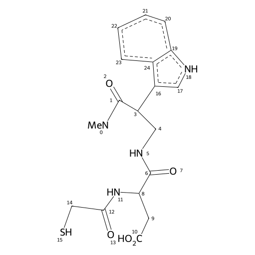 CNC(=O)C(CNC(=O)C(CC(=O)O)NC(=O)CS)c1c[nH]c2ccccc12